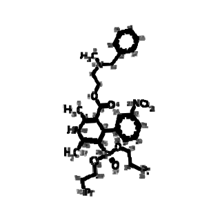 CC1=C(C(=O)OCCN(C)Cc2ccccc2)C(c2cccc([N+](=O)[O-])c2)C(P(=O)(OCCC(C)C)OCCC(C)C)=C(C)N1